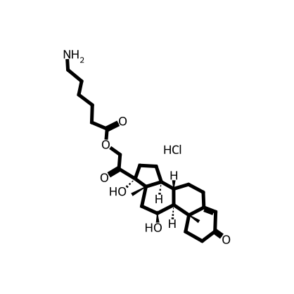 C[C@]12CCC(=O)C=C1CC[C@@H]1[C@@H]2[C@@H](O)C[C@@]2(C)[C@H]1CC[C@]2(O)C(=O)COC(=O)CCCCCN.Cl